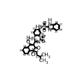 CC(C)CC[C@@]1(C)C(=O)C(C2=NS(=O)(=O)c3cc(NS(=O)(=O)c4nc5ccccc5[nH]4)ccc3N2)=C(O)c2ccccc21